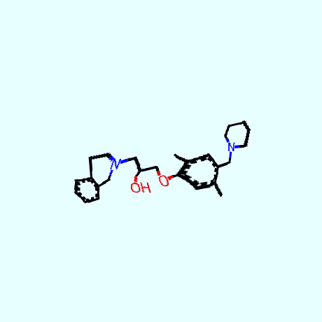 Cc1cc(OCC(O)CN2CCc3ccccc3C2)c(C)cc1CN1CCCCC1